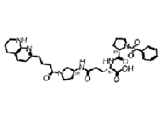 O=C(CC[C@H](NC(=O)[C@H]1CCCN1S(=O)(=O)c1ccccc1)C(=O)O)N[C@H]1CCN(C(=O)CCCc2ccc3c(n2)NCCC3)C1